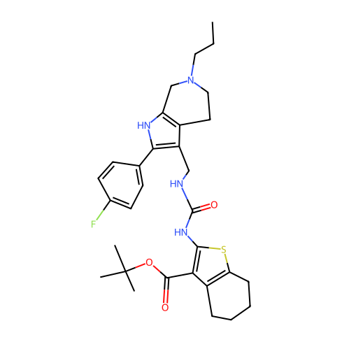 CCCN1CCc2c([nH]c(-c3ccc(F)cc3)c2CNC(=O)Nc2sc3c(c2C(=O)OC(C)(C)C)CCCC3)C1